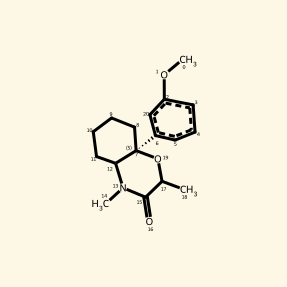 COc1cccc([C@@]23CCCCC2N(C)C(=O)C(C)O3)c1